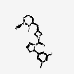 N#CN1CCCC(C=C2CN(C(=O)N3N=CCC3c3cc(F)cc(F)c3)C2)C1F